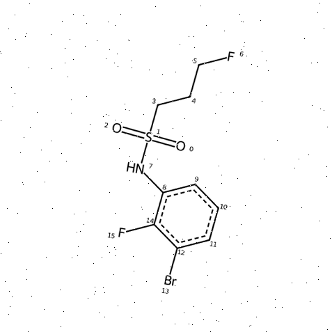 O=S(=O)(CCCF)Nc1cccc(Br)c1F